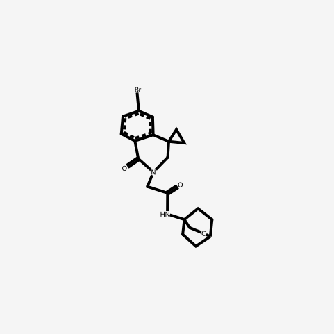 O=C(CN1CC2(CC2)c2cc(Br)ccc2C1=O)NC12CCC(CC1)CC2